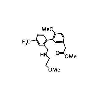 COCCNCc1cc(C(F)(F)F)ccc1-c1cc(CC(=O)OC)ccc1OC